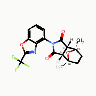 C[C@]12CC[C@](C)(O1)[C@@H]1C(=O)N(c3cccc4oc(C(F)(F)F)nc34)C(=O)[C@@H]12